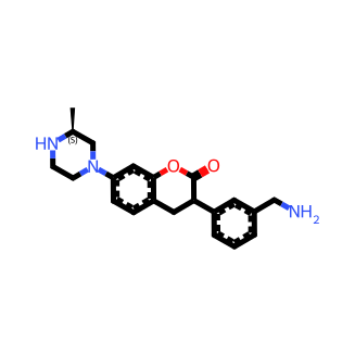 C[C@H]1CN(c2ccc3c(c2)OC(=O)C(c2cccc(CN)c2)C3)CCN1